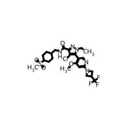 CCn1nc(C(=O)NCC2CCC(S(C)(=O)=O)CC2)c(Cl)c1-c1cnc(N2CC(C(F)(F)F)C2)cc1OC